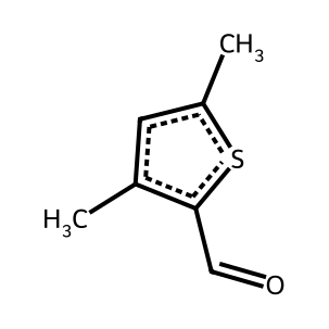 Cc1cc(C)c(C=O)s1